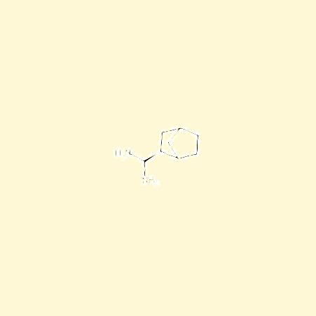 NC(N)[C@H]1CC2CCC1C2